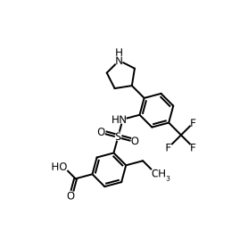 CCc1ccc(C(=O)O)cc1S(=O)(=O)Nc1cc(C(F)(F)F)ccc1C1CCNC1